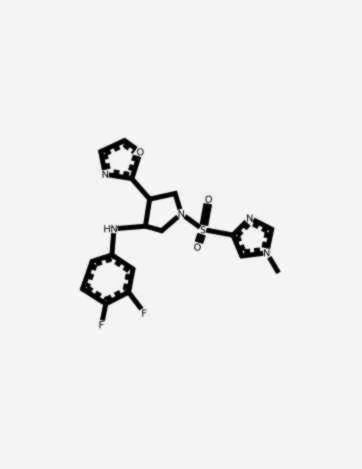 Cn1cnc(S(=O)(=O)N2CC(Nc3ccc(F)c(F)c3)C(c3ncco3)C2)c1